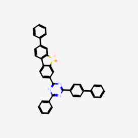 O=S1(=O)c2cc(-c3ccccc3)ccc2-c2ccc(-c3nc(-c4ccccc4)nc(-c4ccc(-c5ccccc5)cc4)n3)cc21